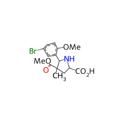 COC(=O)C1(C)CC(C(=O)O)NC1c1cc(Br)ccc1OC